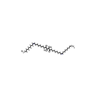 CCCCCCCC/C=C\CCCCCCCC(=O)C(O)C(O)C(=O)CCCCCCC/C=C\CCCCCCCC